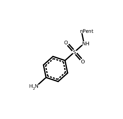 CCCCCNS(=O)(=O)c1ccc(N)cc1